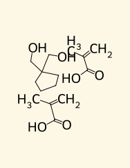 C=C(C)C(=O)O.C=C(C)C(=O)O.OCC1(CO)CCCC1